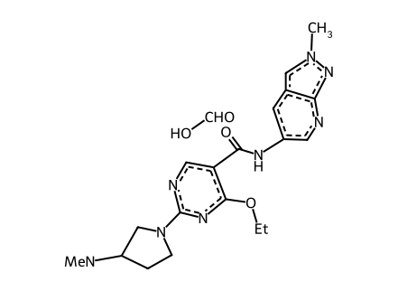 CCOc1nc(N2CCC(NC)C2)ncc1C(=O)Nc1cnc2nn(C)cc2c1.O=CO